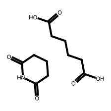 O=C(O)CCCCC(=O)O.O=C1CCCC(=O)N1